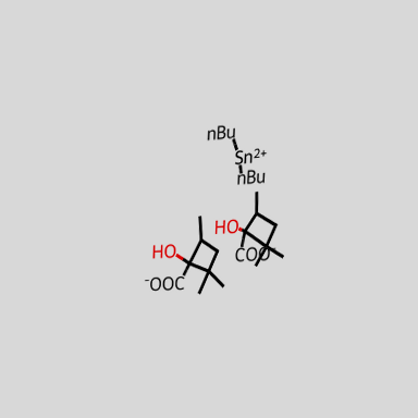 CC1CC(C)(C)C1(O)C(=O)[O-].CC1CC(C)(C)C1(O)C(=O)[O-].CCC[CH2][Sn+2][CH2]CCC